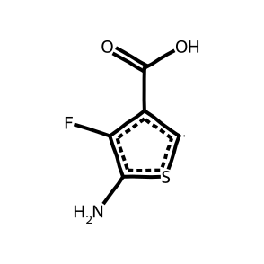 Nc1s[c]c(C(=O)O)c1F